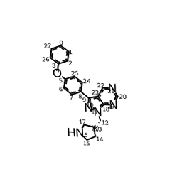 c1ccc(Oc2ccc(-c3nn(C[C@@H]4CCNC4)c4ncncc34)cc2)cc1